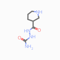 NC(=O)NNC(=O)C1CCCNC1